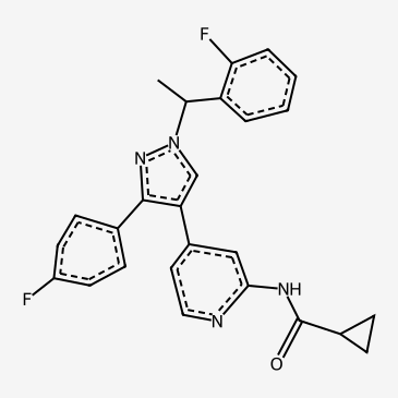 CC(c1ccccc1F)n1cc(-c2ccnc(NC(=O)C3CC3)c2)c(-c2ccc(F)cc2)n1